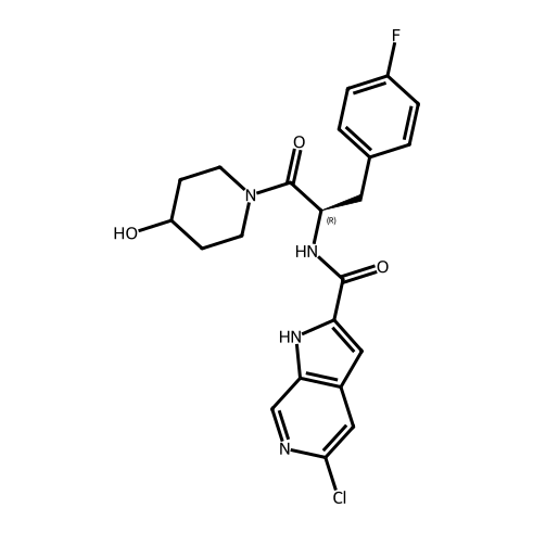 O=C(N[C@H](Cc1ccc(F)cc1)C(=O)N1CCC(O)CC1)c1cc2cc(Cl)ncc2[nH]1